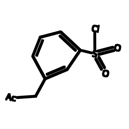 CC(=O)Cc1cccc(S(=O)(=O)Cl)c1